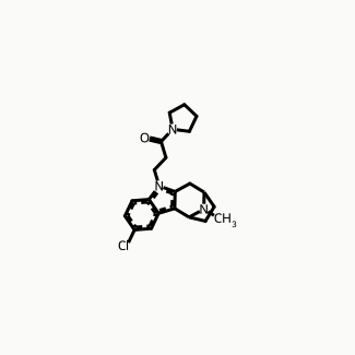 CN1C2CCC1c1c(n(CCC(=O)N3CCCC3)c3ccc(Cl)cc13)C2